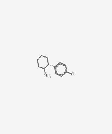 N[C@H]1CCCC[C@@H]1c1ccc(Cl)cc1